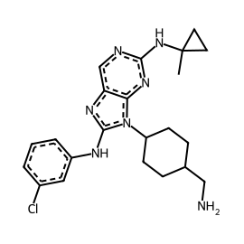 CC1(Nc2ncc3nc(Nc4cccc(Cl)c4)n(C4CCC(CN)CC4)c3n2)CC1